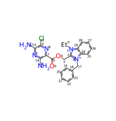 CCn1c(COC(=O)c2nc(Cl)c(N)nc2N)[n+](Cc2ccccc2)c2ccccc21